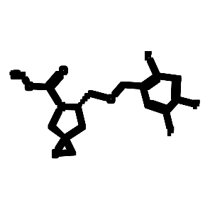 CC(C)(C)OC(=O)N1C[C@]2(CS2)C[C@H]1COCc1cc(F)c(F)cc1F